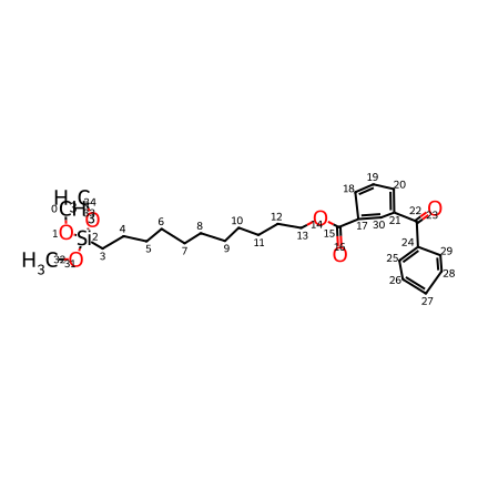 CO[Si](CCCCCCCCCCCOC(=O)c1cccc(C(=O)c2ccccc2)c1)(OC)OC